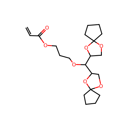 C=CC(=O)OCCCOC(C1COC2(CCCC2)O1)C1COC2(CCCC2)O1